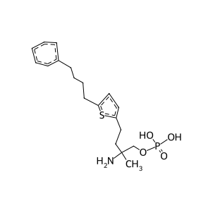 CC(N)(CCc1ccc(CCCCc2ccccc2)s1)COP(=O)(O)O